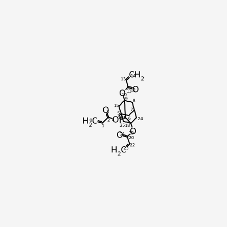 C=CC(=O)OC12CC3CC(OC(=O)C=C)(C1)C(F)C(OC(=O)C=C)(C3)C2